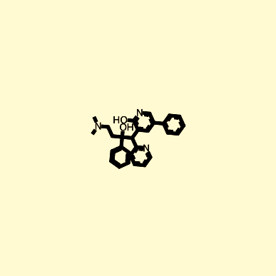 CN(C)CCC(O)(C1=C=C=CC=C1)C(c1ccccn1)c1cc(-c2ccccc2)cnc1O